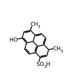 CC1=CC(O)=C2C=CC3=C4C(=CC=C1C24)C(C)C=C3S(=O)(=O)O